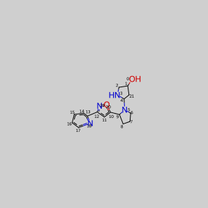 OC1CNC(N2CCCC2c2cc(-c3ccccn3)no2)C1